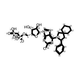 O=P(O)(O)CP(=O)(O)OC[C@H]1O[C@@H](n2cnc3c(N4CC5(CCCCC5)CC4c4ccccc4)nc(Cl)nc32)C(O)[C@H]1O